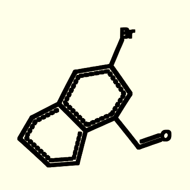 O=Cc1cc(Br)cc2ccccc12